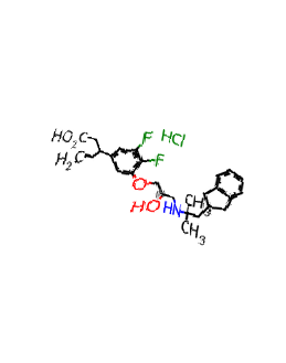 C=CC(CC(=O)O)c1cc(F)c(F)c(OC[C@H](O)CNC(C)(C)CC2Cc3ccccc3C2)c1.Cl